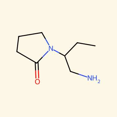 CCC(CN)N1CCCC1=O